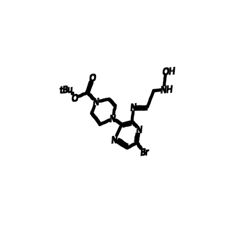 CC(C)(C)OC(=O)N1CCN(c2ncc(Br)nc2N=CCNO)CC1